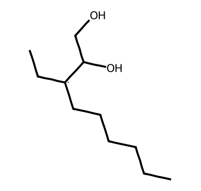 CCCCCC[C](CC)C(O)CO